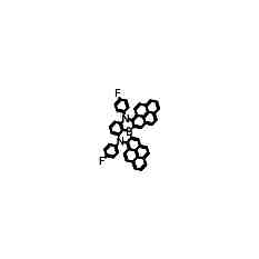 Fc1ccc(N2c3cccc4c3B(c3cc5ccc6cccc7ccc(c32)c5c67)c2cc3ccc5cccc6ccc(c2N4c2ccc(F)cc2)c3c56)cc1